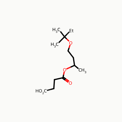 CCC(C)(C)OCCC(C)OC(=O)CCC(=O)O